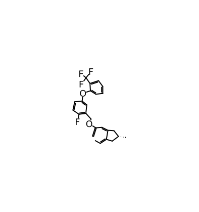 C=C(/C=C1/C[C@H](C)C/C1=C/C)OCc1cc(Oc2ccccc2C(F)(F)F)ccc1F